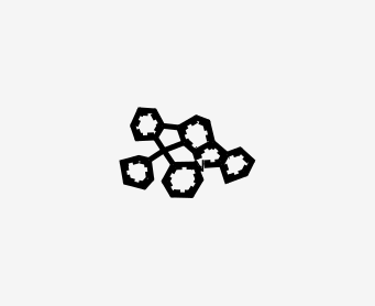 In1c2ccccc2c2ccc3c(c21)C(c1ccccc1)(c1ccccc1)c1ccccc1-3